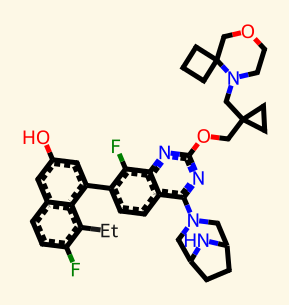 CCc1c(F)ccc2cc(O)cc(-c3ccc4c(N5CC6CCC(C5)N6)nc(OCC5(CN6CCOCC67CCC7)CC5)nc4c3F)c12